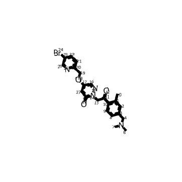 Cc1cc(CN(C)C)ccc1C(=O)Cn1ncc(OCc2ccc(Br)cn2)cc1=O